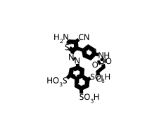 N#Cc1c(N)sc(/N=N/c2cc(S(=O)(=O)O)c3cc(S(=O)(=O)O)cc(S(=O)(=O)O)c3c2)c1-c1ccc(NS(=O)(=O)CCCl)cc1